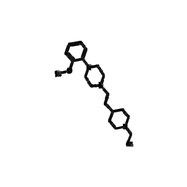 CCOc1ccccc1N1CCN(CCC2CCN(CC(C)=O)CC2)CC1